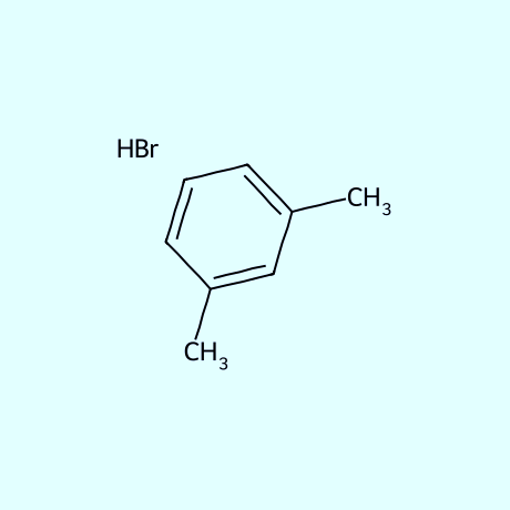 Br.Cc1cccc(C)c1